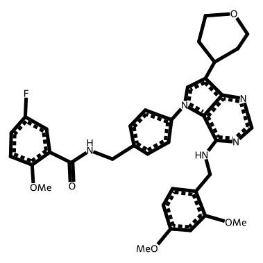 COc1ccc(CNc2ncnc3c(C4CCOCC4)cn(-c4ccc(CNC(=O)c5cc(F)ccc5OC)cc4)c23)c(OC)c1